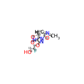 Cc1nc(C)c(-n2nc(OCC(F)CO)c([N+](=O)[O-])c2C2CC2)o1